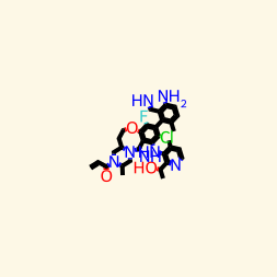 C=CC(=O)N1CC2CCOc3c(F)c(-c4c(C)ccc(N)c4C=N)c(Cl)c(Nc4c(C)ccnc4C(C)O)c3C(=N)N2CC1C